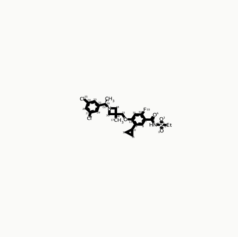 CCS(=O)(=O)NC(=O)c1cc(C2CC2)c(OCC2(C)CN([C@@H](C)c3cc(Cl)cc(Cl)c3)C2)cc1F